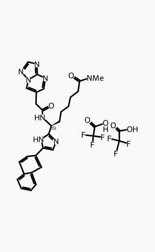 CNC(=O)CCCCC[C@H](NC(=O)Cc1cnc2ncnn2c1)c1ncc(-c2ccc3ccccc3c2)[nH]1.O=C(O)C(F)(F)F.O=C(O)C(F)(F)F